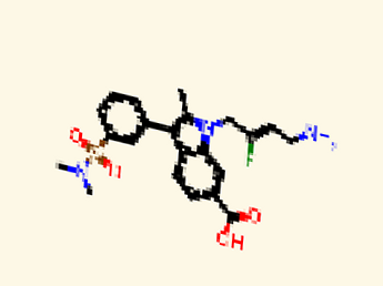 Cc1c(-c2cccc(S(=O)(=O)N(C)C)c2)c2ccc(C(=O)O)cc2n1CC(F)=CCN